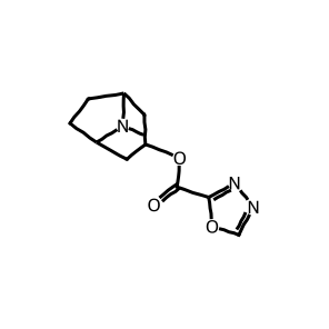 CN1C2CCC1CC(OC(=O)c1nnco1)C2